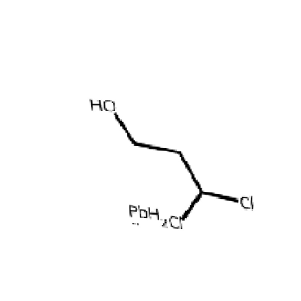 OCCC(Cl)Cl.[PbH2]